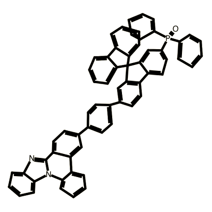 O=P(c1ccccc1)(c1ccccc1)c1ccc2c(c1)C1(c3ccccc3-c3ccccc31)c1cc(-c3ccc(-c4ccc5c(c4)c4ccccc4n4c6ccccc6nc54)cc3)ccc1-2